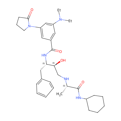 CCN(CC)c1cc(C(=O)N[C@@H](Cc2ccccc2)[C@@H](O)CN[C@@H](C)C(=O)NC2CCCCC2)cc(N2CCCC2=O)c1